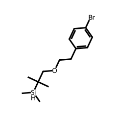 C[SiH](C)C(C)(C)COCCc1ccc(Br)cc1